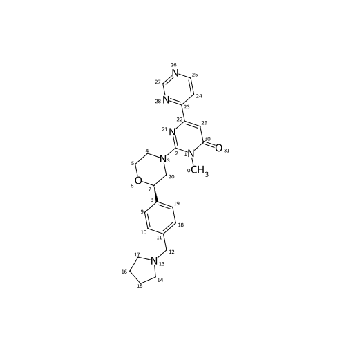 Cn1c(N2CCO[C@H](c3ccc(CN4CCCC4)cc3)C2)nc(-c2ccncn2)cc1=O